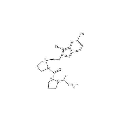 CCOC(=O)C(C)N1CCC[C@@H]1C(=O)N1CCC[C@H]1CCc1cc2ccc(C#N)cc2n1CC